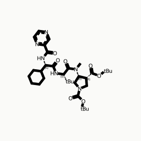 CN(C(=O)[C@@H](NC(=O)[C@@H](NC(=O)c1cnccn1)C1CCCCC1)C(C)(C)C)[C@H]1CN(C(=O)OC(C)(C)C)C[C@H]1C(=O)OC(C)(C)C